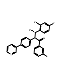 CC[C@@H](c1ccc(Cl)cc1Cl)N(C(=O)c1cccc(F)c1)c1ccc(-c2cccnc2)cc1